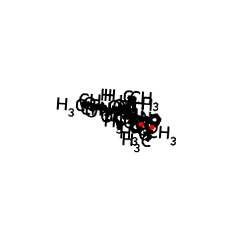 CCC(C)(C)S(=O)(=O)CC1(NC(=O)N[C@H](C(=O)N2CC3[C@@H]([C@H]2C(=O)NC(CC2CC2)C(=O)C(=O)NCCC(=O)OC(C)(C)C)C3(C)C)C2(C)CCCCC2)CCCCC1